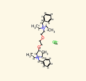 CC[N+](CC)(CCOCCOCC[N+](CC)(CC)Cc1ccccc1)Cc1ccccc1.[Cl-].[Cl-]